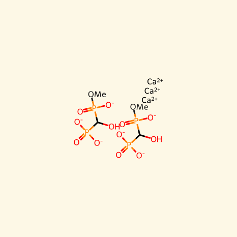 COP(=O)([O-])C(O)P(=O)([O-])[O-].COP(=O)([O-])C(O)P(=O)([O-])[O-].[Ca+2].[Ca+2].[Ca+2]